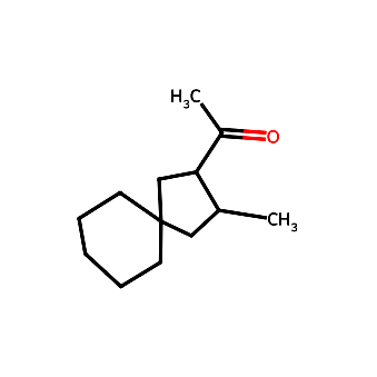 CC(=O)C1CC2(CCCCC2)CC1C